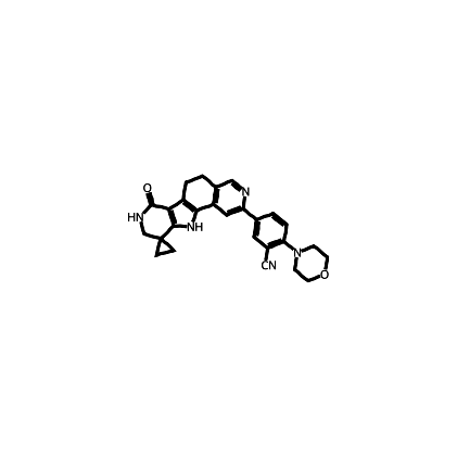 N#Cc1cc(-c2cc3c(cn2)CCc2c-3[nH]c3c2C(=O)NCC32CC2)ccc1N1CCOCC1